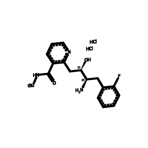 CC(C)(C)NC(=O)c1cccnc1C[C@H](O)[C@H](N)Cc1ccccc1F.Cl.Cl